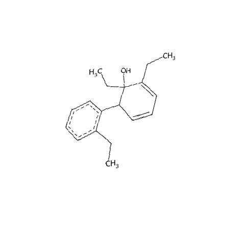 CCC1=CC=CC(c2ccccc2CC)C1(O)CC